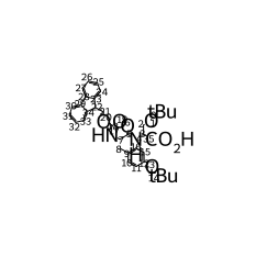 CC(C)(C)OC[C@H](NC(=O)[C@H](Cc1ccc(OC(C)(C)C)cc1)NC(=O)OCC1c2ccccc2-c2ccccc21)C(=O)O